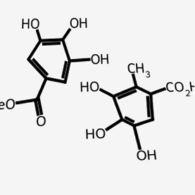 COC(=O)c1cc(O)c(O)c(O)c1.Cc1c(C(=O)O)cc(O)c(O)c1O